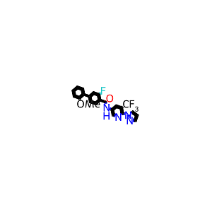 COc1ccccc1-c1ccc(C(=O)Nc2cnc(-n3cccn3)c(C(F)(F)F)c2)c(F)c1